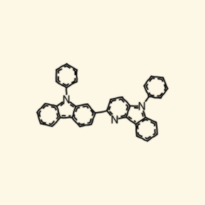 c1ccc(-n2c3ccccc3c3ccc(-c4ccc5c(n4)c4ccccc4n5-c4ccccc4)cc32)cc1